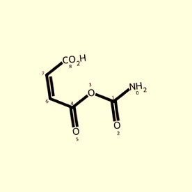 NC(=O)OC(=O)/C=C\C(=O)O